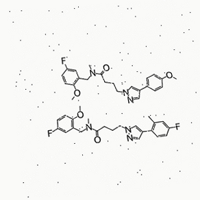 COc1ccc(-c2cnn(CCCC(=O)N(C)Cc3cc(F)ccc3OC)c2)cc1.COc1ccc(F)cc1CN(C)C(=O)CCCn1cc(-c2ccc(F)cc2C)cn1